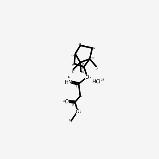 COC(=O)CC(=N)OC1CC2CCC1(C)C2(C)C.Cl